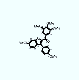 COc1ccc(-c2c(C(=O)c3cc(OC)c(OC)c(OC)c3)oc3cc(OC)ccc23)cc1